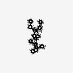 c1ccc(-c2cccc(C3=NC(c4ccc(Nc5ccccc5-c5ccc6c(c5)c5c7ccccc7ccc5n6-c5ccccc5)c5ccccc45)NC(c4cccc(-c5ccccc5)c4)=N3)c2)cc1